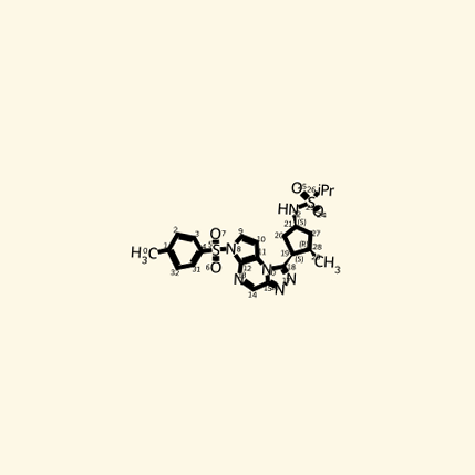 Cc1ccc(S(=O)(=O)n2ccc3c2ncc2nnc([C@H]4C[C@@H](NS(=O)(=O)C(C)C)C[C@H]4C)n23)cc1